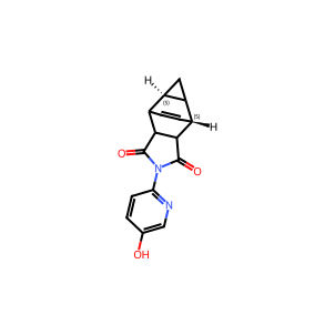 O=C1C2C(C(=O)N1c1ccc(O)cn1)[C@@H]1C=CC2[C@H]2CC12